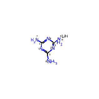 Nc1nc(N)nc(N)n1.[LiH]